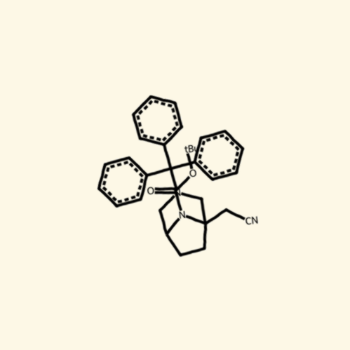 CC(C)(C)OC(=O)N1C2CCC1(CC#N)CN(C(c1ccccc1)(c1ccccc1)c1ccccc1)C2